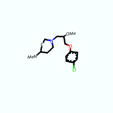 CNC1CCN(CC(COc2ccc(Cl)cc2)OC)CC1